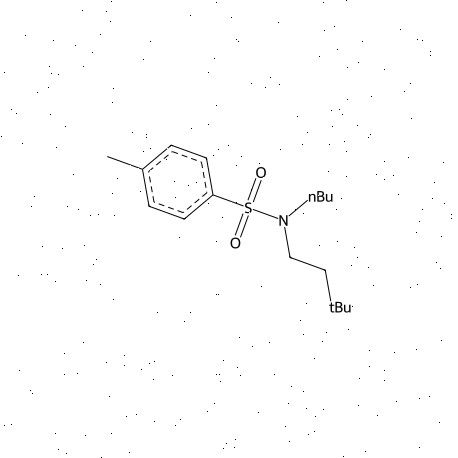 CCCCN(CCC(C)(C)C)S(=O)(=O)c1ccc(C)cc1